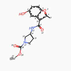 Cc1oc2ccc(O)cc2c1C(=O)NC1CCN(C(=O)OC(C)(C)C)C1